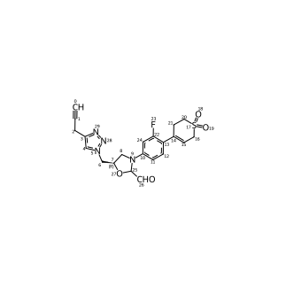 C#CCc1cn(C[C@H]2CN(c3ccc(C4=CCS(=O)(=O)CC4)c(F)c3)C(C=O)O2)nn1